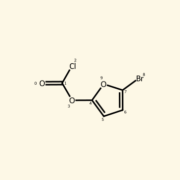 O=C(Cl)Oc1ccc(Br)o1